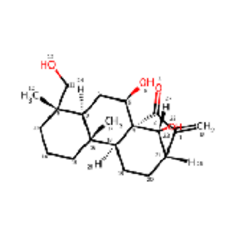 C=C1C(=O)[C@@]23[C@H](O)C[C@@H]4[C@@](C)(CO)CCC[C@@]4(C)[C@@H]2CC[C@@H]1[C@H]3O